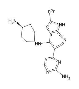 CCCc1cc2c(N[C@H]3CC[C@H](N)CC3)c(-c3ccnc(N)n3)cnc2[nH]1